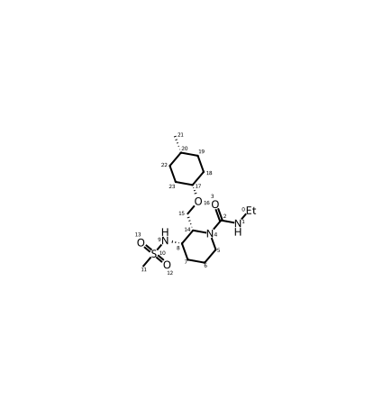 CCNC(=O)N1CCC[C@H](NS(C)(=O)=O)[C@@H]1CO[C@H]1CC[C@@H](C)CC1